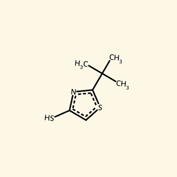 CC(C)(C)c1nc(S)cs1